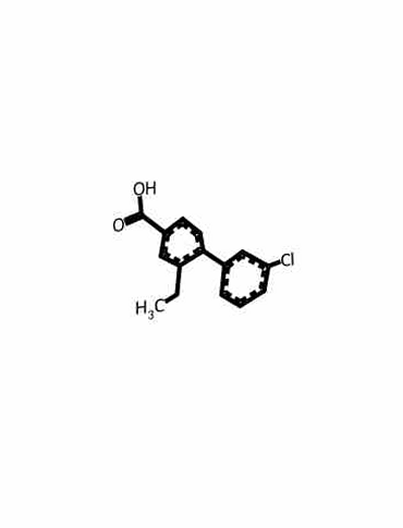 CCc1cc(C(=O)O)ccc1-c1cccc(Cl)c1